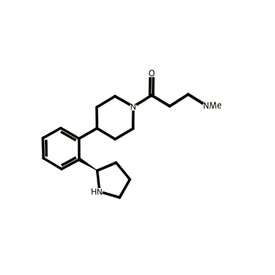 CNCCC(=O)N1CCC(c2ccccc2[C@H]2CCCN2)CC1